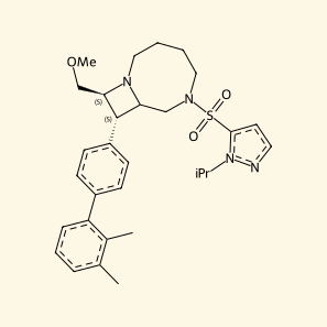 COC[C@@H]1[C@@H](c2ccc(-c3cccc(C)c3C)cc2)C2CN(S(=O)(=O)c3ccnn3C(C)C)CCCCN21